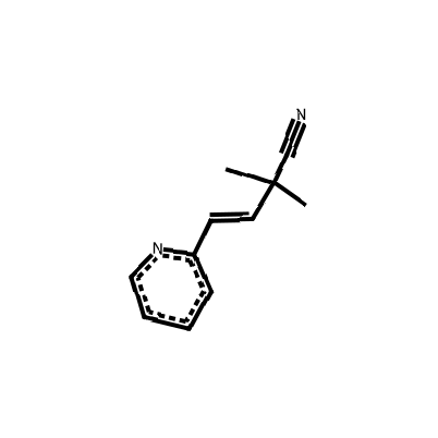 CC(C)(C#N)C=Cc1ccccn1